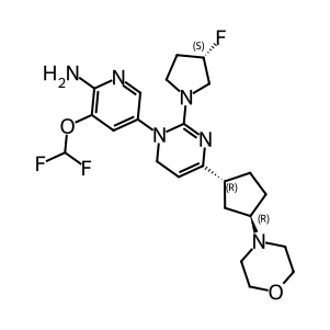 Nc1ncc(N2CC=C([C@@H]3CC[C@@H](N4CCOCC4)C3)N=C2N2CC[C@H](F)C2)cc1OC(F)F